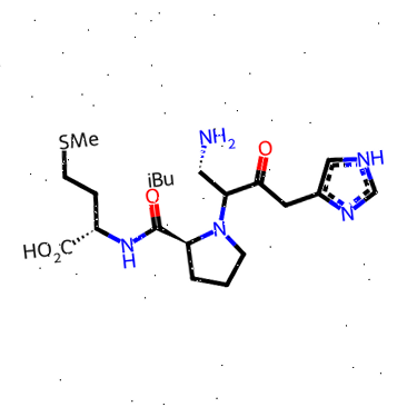 CC[C@H](C)[C@H](N)C(C(=O)Cc1c[nH]cn1)N1CCC[C@H]1C(=O)N[C@@H](CCSC)C(=O)O